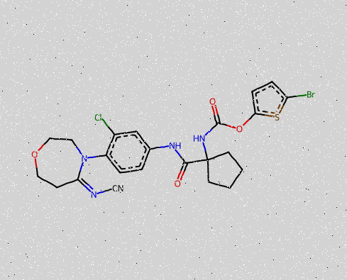 N#CN=C1CCOCCN1c1ccc(NC(=O)C2(NC(=O)Oc3ccc(Br)s3)CCCC2)cc1Cl